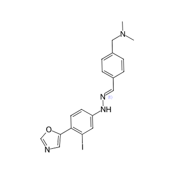 CN(C)Cc1ccc(/C=N/Nc2ccc(-c3cnco3)c(I)c2)cc1